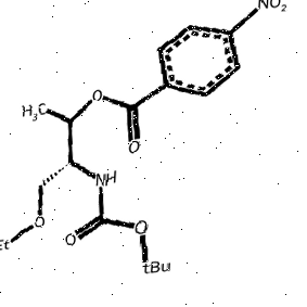 CCOC[C@@H](NC(=O)OC(C)(C)C)C(C)OC(=O)c1ccc([N+](=O)[O-])cc1